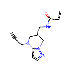 C#CCN1CC(CNC(=O)C=C)Cn2nccc21